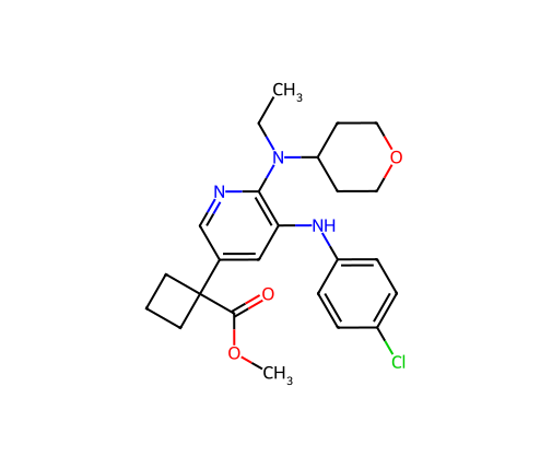 CCN(c1ncc(C2(C(=O)OC)CCC2)cc1Nc1ccc(Cl)cc1)C1CCOCC1